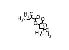 CC[C@@H](C)C(=O)OC1CC(C)(C)OC1=O